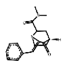 CN(C)C(=O)C1C[C@@H]2CCN1C(=Cc1ccccc1)C2=O